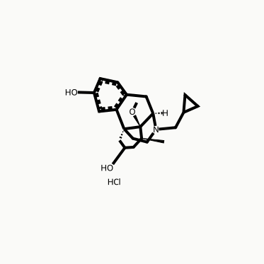 CO[C@@]12[C@@H](C)CC(O)C[C@@]13CCN(CC1CC1)[C@@H]2Cc1ccc(O)cc13.Cl